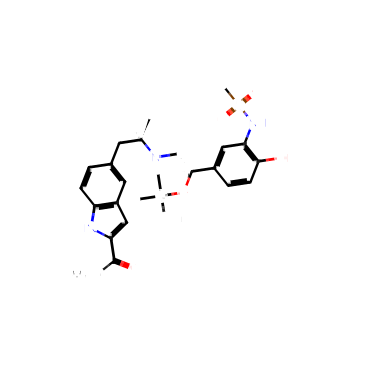 COC(=O)c1cc2cc(C[C@@H](C)NC[C@@H](O[Si](C)(C)C(C)(C)C)c3ccc(O)c(NS(C)(=O)=O)c3)ccc2[nH]1